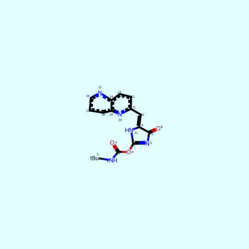 CC(C)(C)NC(=O)OC1=NC(=O)C(=Cc2ccc3ncccc3n2)N1